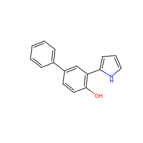 Oc1ccc(-c2ccccc2)cc1-c1ccc[nH]1